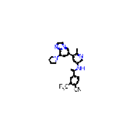 C=C(Nc1cnc(C)c(-c2cc(N3CCCC3)c3nccn3c2)c1)c1ccc(C#N)c(C(F)(F)F)c1